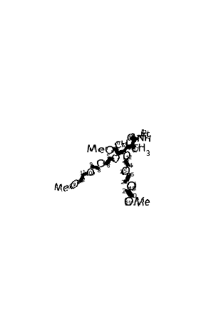 C=C(OC)/C(OCCOCCOCCOC)=C(\C=C(/C)C(=O)NCC)OCCOCCOCCOC